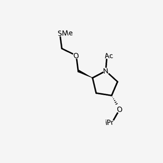 CSCOC[C@@H]1C[C@@H](OC(C)C)CN1C(C)=O